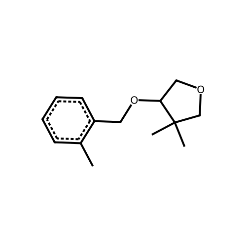 Cc1ccccc1COC1COCC1(C)C